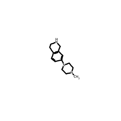 CN1CCN(c2ccc3c(c2)CNCC3)CC1